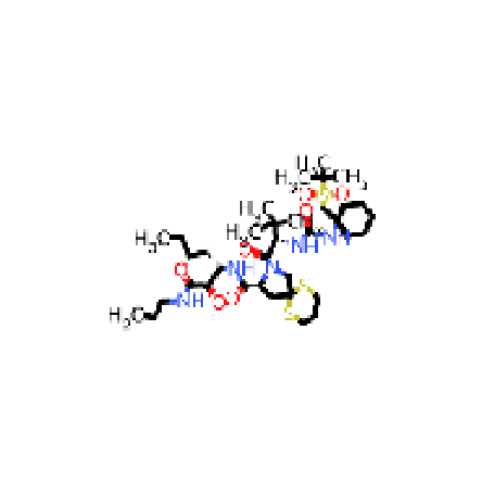 C=CCNC(=O)C(=O)[C@H](CCCC)NC(=O)[C@@H]1CC2(CN1C(=O)[C@@H](NC(=O)NC1(CS(=O)(=O)C(C)(C)C)CCCCC1)C(C)(C)C)SCCCS2